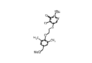 COCc1cc(C)c(OCCSc2cnn(C(C)(C)C)c(=O)c2Cl)c(C)c1